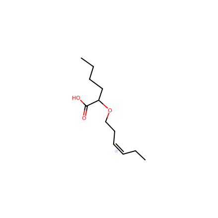 CC/C=C\CCOC(CCCC)C(=O)O